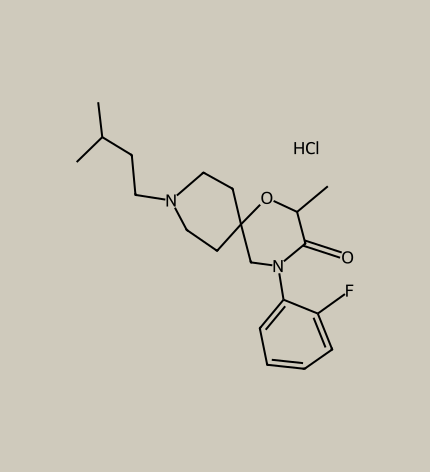 CC(C)CCN1CCC2(CC1)CN(c1ccccc1F)C(=O)C(C)O2.Cl